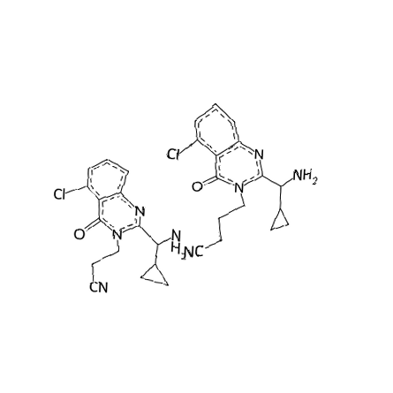 N#CCCCn1c(C(N)C2CC2)nc2cccc(Cl)c2c1=O.N#CCCn1c(C(N)C2CC2)nc2cccc(Cl)c2c1=O